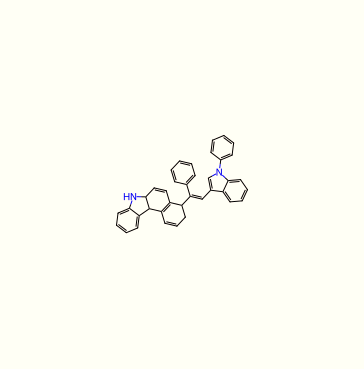 C1=CC2=C(C=CC3Nc4ccccc4C23)C(/C(=C/c2cn(-c3ccccc3)c3ccccc23)c2ccccc2)C1